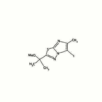 COC(C)(C)c1nn2c(I)c(C)nc2s1